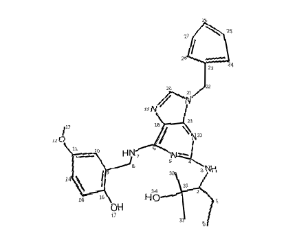 CCC(Nc1nc(NCc2cc(OC)ccc2O)c2ncn(Cc3ccccc3)c2n1)C(C)(C)O